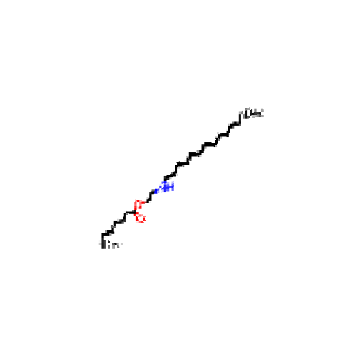 CCCCCCCCCCC=CC=CC=CC=CC=CC=CNCCOC(=O)CCCCCCCCCCCCCCC